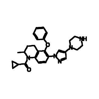 CC1CCc2c(ccc(-n3cc(N4CCNCC4)cn3)c2Oc2ccccc2)N1C(=O)C1CC1